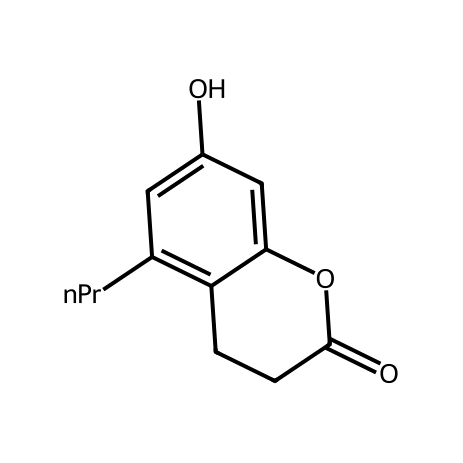 CCCc1cc(O)cc2c1CCC(=O)O2